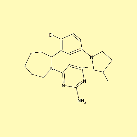 Cc1cc(N2CCCCCC2c2cc(N3CCC(C)C3)ccc2Cl)nc(N)n1